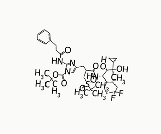 CC(C)(C)OC(=O)n1cc(CC(CS(=O)(=O)C(C)(C)C)C(=O)N[C@@H](C2CCC(F)(F)CC2)[C@@H](O)[C@@](C)(O)C2CC2)nc1NC(=O)CCc1ccccc1